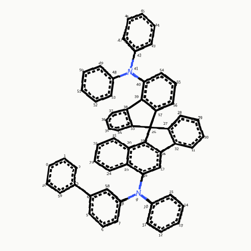 c1ccc(-c2cccc(N(c3ccccc3)c3cc4c(c5ccccc35)C3(c5ccccc5-4)c4ccccc4-c4c(N(c5ccccc5)c5ccccc5)cccc43)c2)cc1